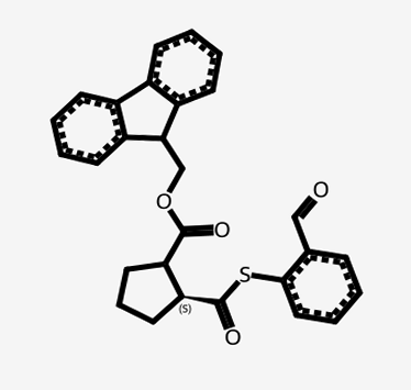 O=Cc1ccccc1SC(=O)[C@H]1CCCC1C(=O)OCC1c2ccccc2-c2ccccc21